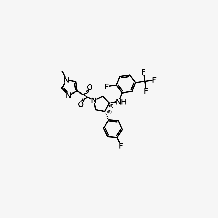 Cn1cnc(S(=O)(=O)N2C[C@@H](Nc3cc(C(F)(F)F)ccc3F)[C@H](c3ccc(F)cc3)C2)c1